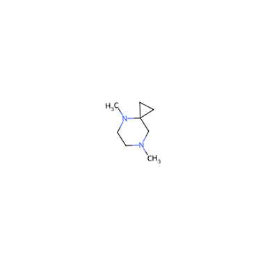 CN1CCN(C)C2(CC2)C1